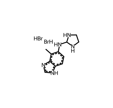 Br.Br.Cc1c(NC2NCCN2)ccc2[nH]cnc12